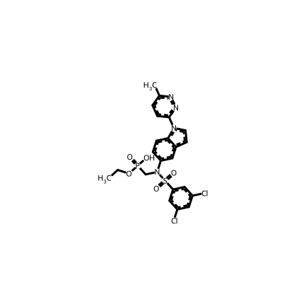 CCOP(=O)(O)CN(c1ccc2c(ccn2-c2ccc(C)nn2)c1)S(=O)(=O)c1cc(Cl)cc(Cl)c1